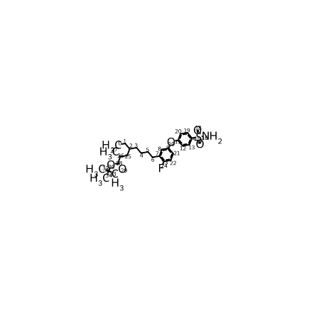 CCC(CCCCc1cc(Oc2ccc(S(N)(=O)=O)cc2)ccc1F)CC(C)C(=O)OC(C)(C)C